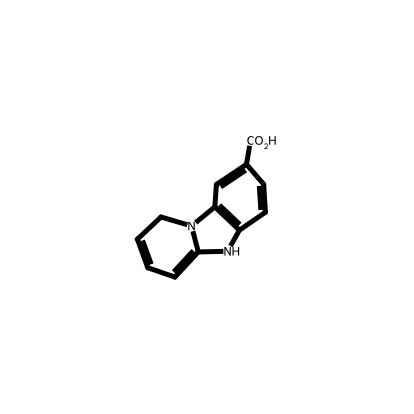 O=C(O)c1ccc2c(c1)N1CC=CC=C1N2